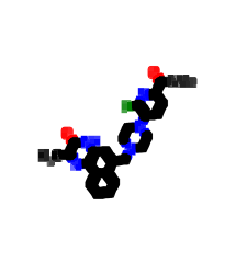 CNC(=O)c1ccc(N2CCN(Cc3cc4[nH]c(=O)c(C)nc4c4ccccc34)CC2)c(F)n1